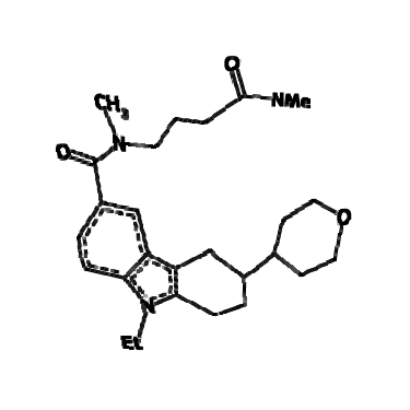 CCn1c2c(c3cc(C(=O)N(C)CCCC(=O)NC)ccc31)CC(C1CCOCC1)CC2